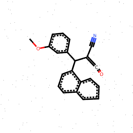 COc1cccc([C](C(=C=O)C#N)c2cccc3ccccc23)c1